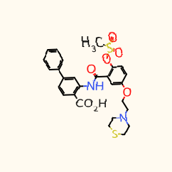 CS(=O)(=O)Oc1ccc(OCCN2CCSCC2)cc1C(=O)Nc1cc(-c2ccccc2)ccc1C(=O)O